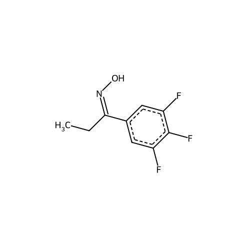 CC/C(=N/O)c1cc(F)c(F)c(F)c1